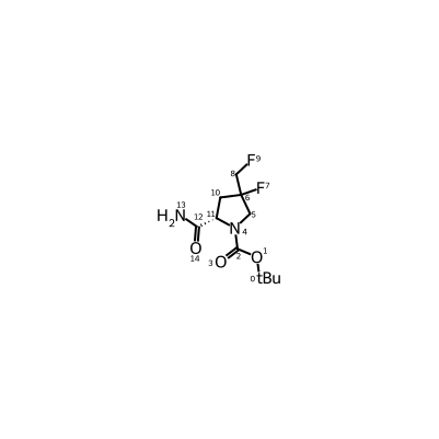 CC(C)(C)OC(=O)N1CC(F)(CF)C[C@H]1C(N)=O